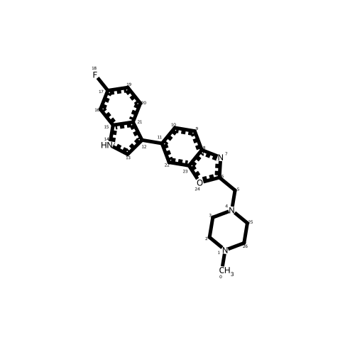 CN1CCN(Cc2nc3ccc(-c4c[nH]c5cc(F)ccc45)cc3o2)CC1